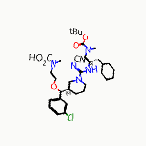 CN(CCOC(c1cccc(Cl)c1)[C@@H]1CCCN(C(=NC#N)N[C@@H](CC2CCCCC2)CN(C)C(=O)OC(C)(C)C)C1)C(=O)O